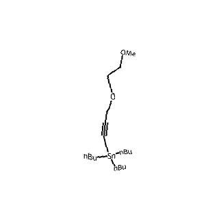 CCC[CH2][Sn]([C]#CCOCCOC)([CH2]CCC)[CH2]CCC